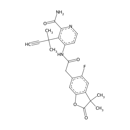 C#CC(C)(C)c1c(NC(=O)Cc2cc3c(cc2F)C(C)(C)C(=O)O3)ccnc1C(N)=O